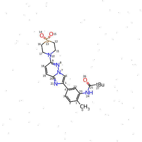 Cc1ccc(-c2cn3nc(N4CCS(=O)(=O)CC4)ccc3n2)cc1NC(=O)C(C)(C)C